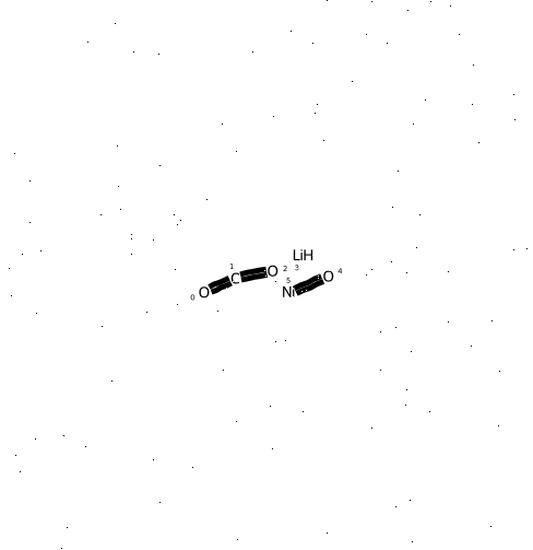 O=C=O.[LiH].[O]=[Ni]